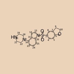 O=S(=O)(c1ccc2c(c1)CCO2)n1ccc2c(N3CCNCC3)cccc21